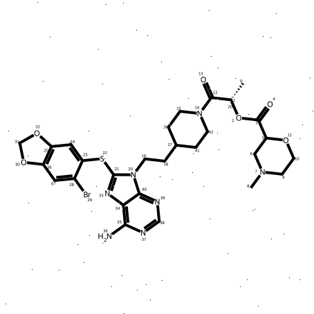 C[C@H](OC(=O)C1CN(C)CCO1)C(=O)N1CCC(CCn2c(Sc3cc4c(cc3Br)OCO4)nc3c(N)ncnc32)CC1